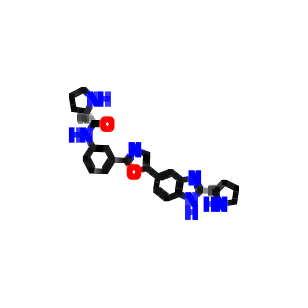 O=C(Nc1cccc(-c2ncc(-c3ccc4[nH]c([C@@H]5CCCN5)nc4c3)o2)c1)[C@@H]1CCCN1